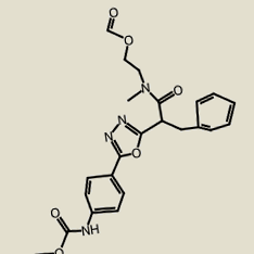 COC(=O)Nc1ccc(-c2nnc(C(Cc3ccccc3)C(=O)N(C)CCOC=O)o2)cc1